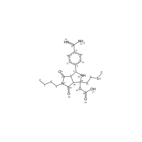 CCCCN1C(=O)C2C(c3ccc(C(=N)N)cc3)NC(CCSC)(OC(=O)O)C2C1=O